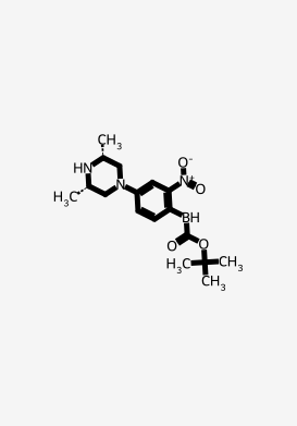 C[C@@H]1CN(c2ccc(BC(=O)OC(C)(C)C)c([N+](=O)[O-])c2)C[C@H](C)N1